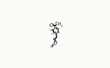 CC(=O)N1CCN(CCOI)CC1